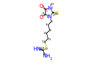 CN1C(=O)C(=O)N(CCCCCCSC(=N)N)C1=S